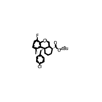 CC(C)(C)OC(=O)[C@@H]1CCC[C@@]2(Cc3ccc(Cl)cc3)c3c(F)ccc(F)c3OCC12